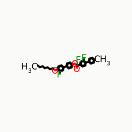 CCCCCCCCOc1ccc(-c2ccc(OC(=O)c3ccc(-c4ccc(C)cc4)c(F)c3F)cc2)cc1F